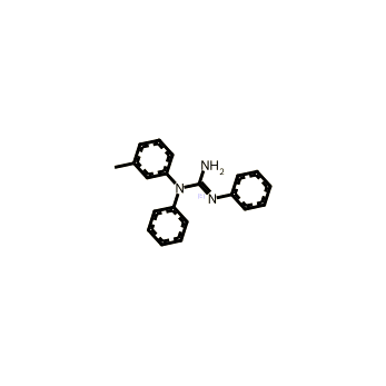 Cc1cccc(N(/C(N)=N/c2ccccc2)c2ccccc2)c1